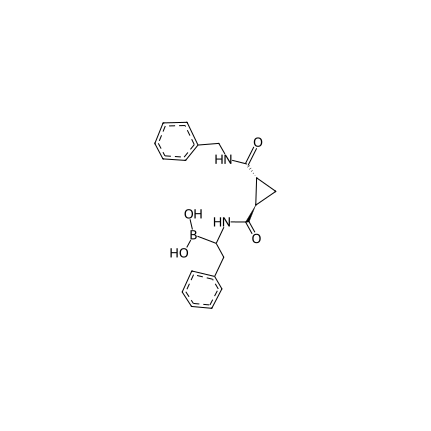 O=C(NCc1ccccc1)[C@@H]1C[C@H]1C(=O)NC(Cc1ccccc1)B(O)O